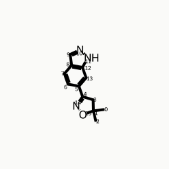 CC1(C)CC(c2ccc3cn[nH]c3c2)=NO1